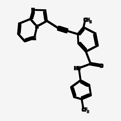 Cc1ccc(C(=O)Nc2ccc(C(F)(F)F)cc2)cc1C#Cc1cnc2cccnn12